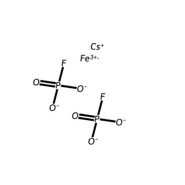 O=P([O-])([O-])F.O=P([O-])([O-])F.[Cs+].[Fe+3]